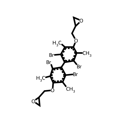 Cc1c(Br)c(-c2c(Br)c(C)c(OCC3CO3)c(C)c2Br)c(Br)c(C)c1OCC1CO1